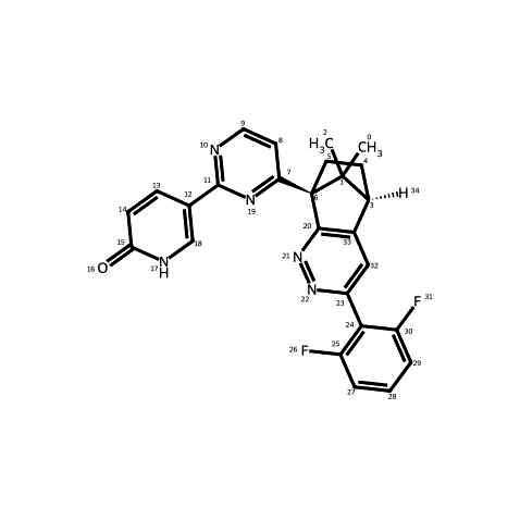 CC1(C)[C@H]2CC[C@@]1(c1ccnc(-c3ccc(=O)[nH]c3)n1)c1nnc(-c3c(F)cccc3F)cc12